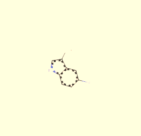 Nc1ccc2[nH]cc(C=O)c2c1